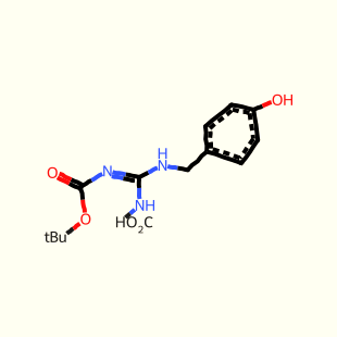 CC(C)(C)OC(=O)N=C(NCc1ccc(O)cc1)NC(=O)O